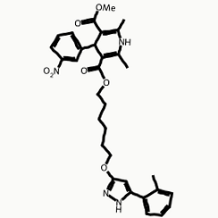 COC(=O)C1=C(C)NC(C)=C(C(=O)OCCCCCCOc2cc(-c3ccccc3C)[nH]n2)C1c1cccc([N+](=O)[O-])c1